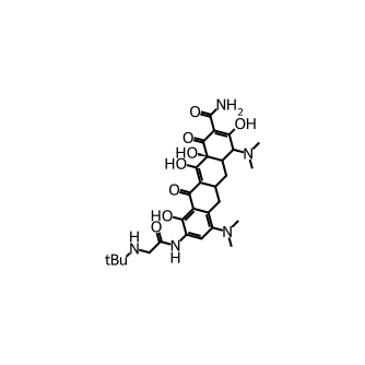 CN(C)c1cc(NC(=O)CNC(C)(C)C)c(O)c2c1CC1CC3C(N(C)C)C(O)=C(C(N)=O)C(=O)[C@@]3(O)C(O)=C1C2=O